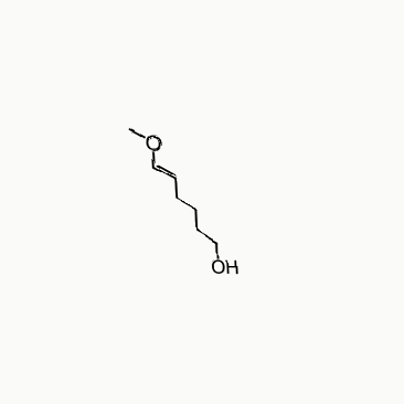 COC=CCCCCO